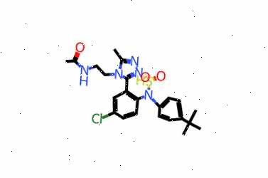 CC(=O)NCCn1c(C)nnc1-c1cc(Cl)ccc1N(c1ccc(C(C)(C)C)cc1)[SH](=O)=O